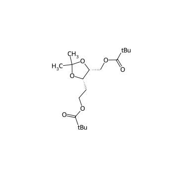 CC1(C)O[C@@H](CCOC(=O)C(C)(C)C)[C@@H](COC(=O)C(C)(C)C)O1